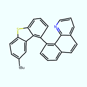 CC(C)(C)c1ccc2sc3cccc(-c4cccc5ccc6cccnc6c45)c3c2c1